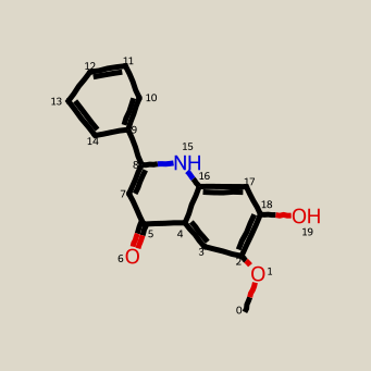 COc1cc2c(=O)cc(-c3ccccc3)[nH]c2cc1O